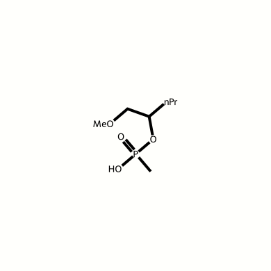 CCCC(COC)OP(C)(=O)O